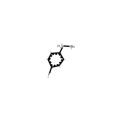 CC(C)(C)[SiH2]c1ccc(F)cc1